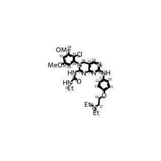 CCNC(=O)NC1=Nc2nc(Nc3ccc(OCCN(CC)CC)cc3)ncc2CN1c1cc(OC)cc(OC)c1Cl